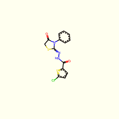 O=C(N/N=C1\SCC(=O)N1c1ccccc1)c1ccc(Cl)s1